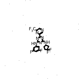 Fc1cc(F)cc(Nc2nc(N[C@H]3CCC(F)(F)C3)nc(-c3cncc(C(F)(F)F)n3)n2)c1